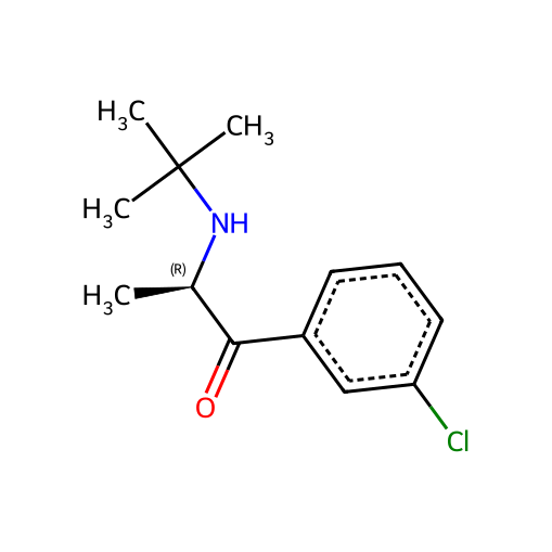 C[C@@H](NC(C)(C)C)C(=O)c1cccc(Cl)c1